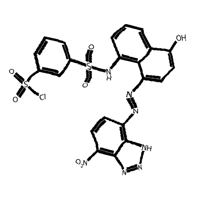 O=[N+]([O-])c1ccc(/N=N/c2ccc(O)c3cccc(NS(=O)(=O)c4cccc(S(=O)(=O)Cl)c4)c23)c2[nH]nnc12